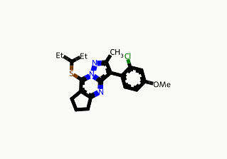 CCC(CC)Sc1c2c(nc3c(-c4ccc(OC)cc4Cl)c(C)nn13)CCC2